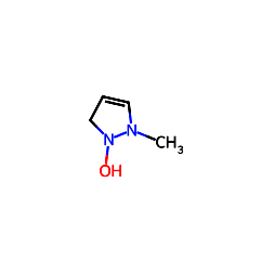 CN1C=CCN1O